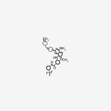 COc1ccc(C(=O)Nc2cccc(C(F)(F)F)c2)cc1Nc1ncnc2c(N)nc(N3CCN(CC4CCN(C)CC4)CC3)nc12